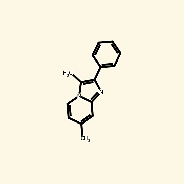 Cc1ccn2c(C)c(-c3ccccc3)nc2c1